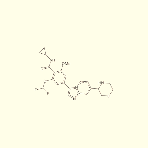 COc1cc(-c2cnc3cc(C4COCCN4)ccn23)cc(OC(F)F)c1C(=O)NC1CC1